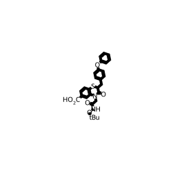 CC(C)(C)ONC(=O)CN1C(=O)C(Cc2ccc(Oc3ccccc3)cc2)Sc2ccc(C(=O)O)cc21